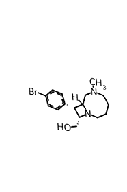 CN1CCCCN2[C@H](CO)[C@H](c3ccc(Br)cc3)[C@@H]2C1